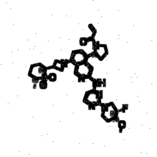 C=CC(=O)N1CCC[C@H]1c1ccc(N2CC([C@@H]3CCC[C@@H](C)S3(=O)=O)C2)c2cnc(Nc3ccnc(N4CC[C@@H](OC)[C@@H](F)C4)n3)cc12